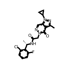 Cc1nn(C2CC2)c2cnn(CC(=O)N[C@@H](C)c3c(F)cccc3Cl)c(=O)c12